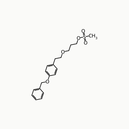 CS(=O)(=O)OCCCOCCc1ccc(OCc2ccccc2)cc1